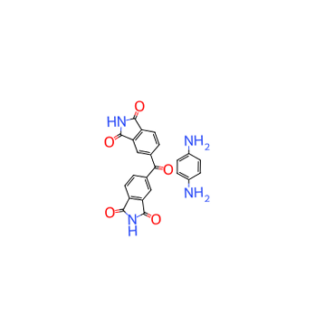 Nc1ccc(N)cc1.O=C(c1ccc2c(c1)C(=O)NC2=O)c1ccc2c(c1)C(=O)NC2=O